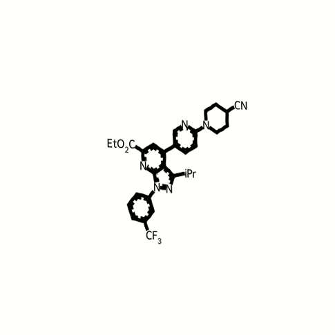 CCOC(=O)c1cc(-c2ccc(N3CCC(C#N)CC3)nc2)c2c(C(C)C)nn(-c3cccc(C(F)(F)F)c3)c2n1